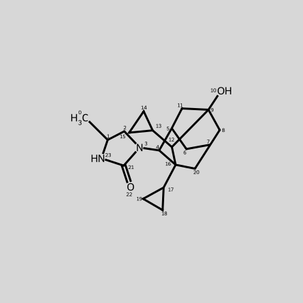 CC1CN(C2C3CC4CC(O)(C3)C(C3CC3)C2(C2CC2)C4)C(=O)N1